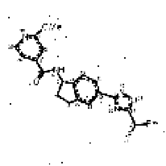 COc1cc(C(=O)NC2CCc3cc(-c4noc(C(F)F)n4)ccc32)ccn1